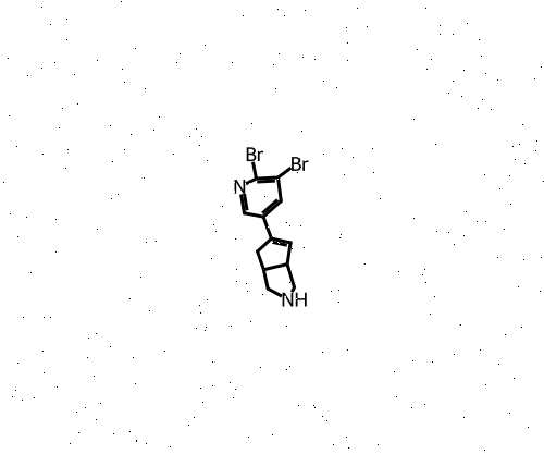 Brc1cc(C2=CC3CNCC3C2)cnc1Br